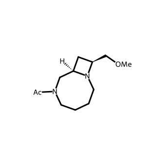 COC[C@@H]1C[C@@H]2CN(C(C)=O)CCCCN12